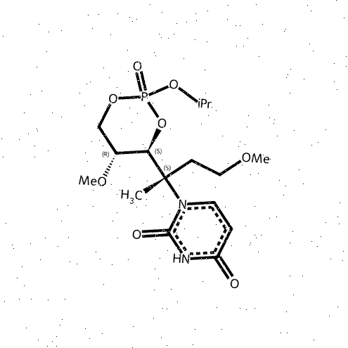 COCC[C@@](C)([C@@H]1OP(=O)(OC(C)C)OC[C@H]1OC)n1ccc(=O)[nH]c1=O